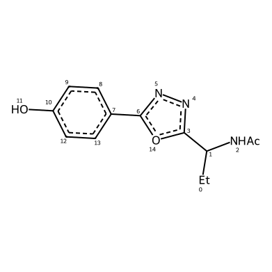 CCC(NC(C)=O)c1nnc(-c2ccc(O)cc2)o1